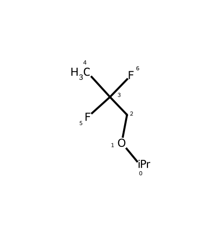 CC(C)OCC(C)(F)F